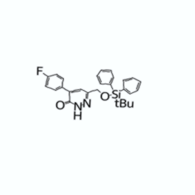 CC(C)(C)[Si](OCc1cc(-c2ccc(F)cc2)c(=O)[nH]n1)(c1ccccc1)c1ccccc1